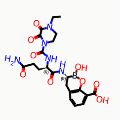 CCN1CCN(C(=O)N[C@H](CCC(N)=O)C(=O)N[C@H]2Cc3cccc(C(=O)O)c3OB2O)C(=O)C1=O